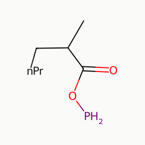 CCCCC(C)C(=O)OP